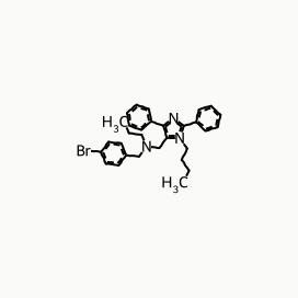 CCCCn1c(-c2ccccc2)nc(-c2ccccc2)c1CN(CCC)Cc1ccc(Br)cc1